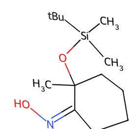 CC1(O[Si](C)(C)C(C)(C)C)CCCCC1=NO